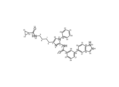 O=C(Nc1nc(CCCCNC(=O)C2CC2)cn1-c1ccccc1)c1cccc(-c2ccc3[nH]ncc3c2)c1